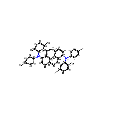 Cc1ccc(N(c2cc(C)ccc2C)c2ccc3ccc4c(N(c5ccc(C)cc5)c5cc(C)ccc5C)ccc5ccc2c3c54)cc1